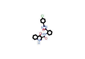 O=C(Nc1ccccc1-c1nc(-c2ccc(Cl)cc2)no1)c1c[nH]c2ccccc2c1=O